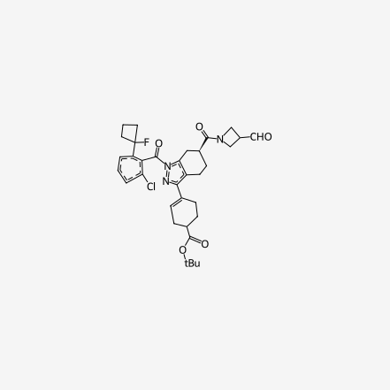 CC(C)(C)OC(=O)C1CC=C(c2nn(C(=O)c3c(Cl)cccc3C3(F)CCC3)c3c2CC[C@H](C(=O)N2CC(C=O)C2)C3)CC1